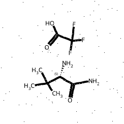 CC(C)(C)[C@H](N)C(N)=O.O=C(O)C(F)(F)F